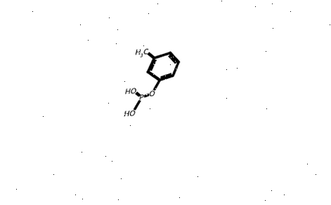 Cc1cccc(OP(O)O)c1